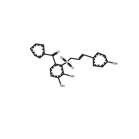 O=C(c1ccccc1)c1ccc(O)c(O)c1S(=O)(=O)CC=Cc1ccc(O)cc1